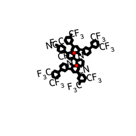 N#Cc1ccc(-n2c3ccc(-c4cc(C(F)(F)F)cc(C(F)(F)F)c4)cc3c3cc(-c4cc(C(F)(F)F)cc(C(F)(F)F)c4)ccc32)c(-c2ccc(-c3ccc(C#N)cc3C(F)(F)F)cc2-n2c3ccc(-c4cc(C(F)(F)F)cc(C(F)(F)F)c4)cc3c3cc(-c4cc(C(F)(F)F)cc(C(F)(F)F)c4)ccc32)c1